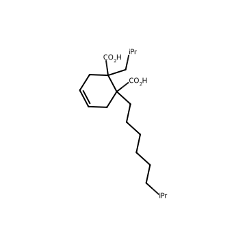 CC(C)CCCCCCC1(C(=O)O)CC=CCC1(CC(C)C)C(=O)O